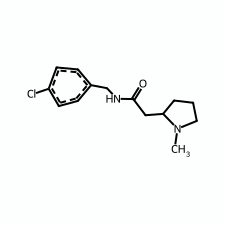 CN1CCCC1CC(=O)NCc1ccc(Cl)cc1